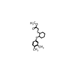 COC(=O)CSC1CCCCC1Sc1ccc(C)c(C)c1